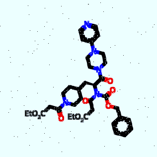 CCOC(=O)CC(=O)N1CCC(C[C@@H](C(=O)N2CCN(c3ccncc3)CC2)N(C(=O)CC(=O)OCC)C(=O)OCc2ccccc2)CC1